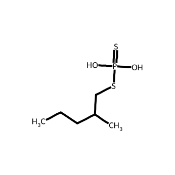 CCCC(C)CSP(O)(O)=S